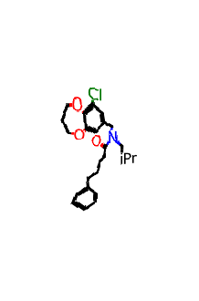 CC(C)CN(Cc1cc(Cl)c2c(c1)OCCCO2)C(=O)CCCCc1ccccc1